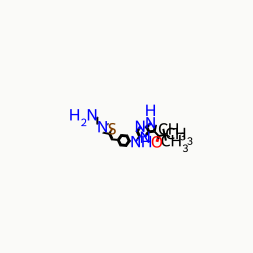 CC(C)(C)C(=O)c1c[nH]c2ncc(Nc3ccc(C=C4CN(CCN)CS4)cc3)nc12